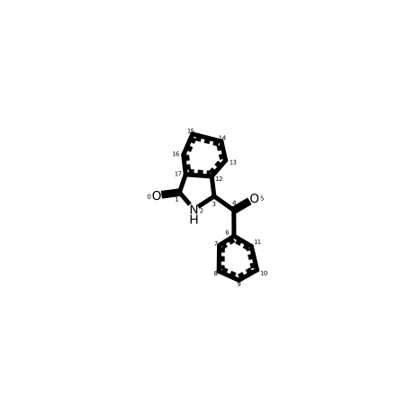 O=C1NC(C(=O)c2ccccc2)c2ccccc21